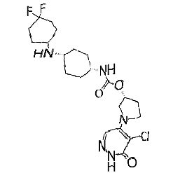 O=C(N[C@H]1CC[C@@H](NC2CCC(F)(F)CC2)CC1)O[C@@H]1CCN(c2cn[nH]c(=O)c2Cl)C1